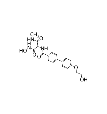 CNC(=O)C(NC(=O)c1ccc(-c2ccc(OCCO)cc2)cc1)C(=O)NO